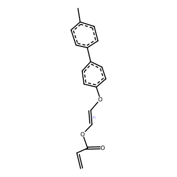 C=CC(=O)O/C=C/Oc1ccc(-c2ccc(C)cc2)cc1